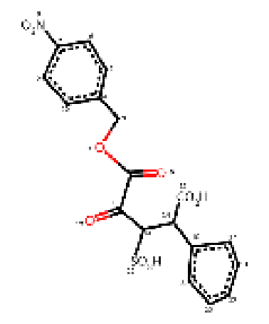 O=C(OCc1ccc([N+](=O)[O-])cc1)C(=O)C(C(C(=O)O)c1ccccc1)S(=O)(=O)O